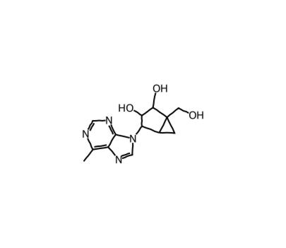 Cc1ncnc2c1ncn2C1C(O)C(O)C2(CO)CC12